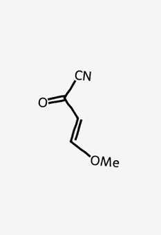 CO/C=C/C(=O)C#N